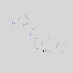 COc1ncc(NC(=O)c2cccc(N3CCOCC3)n2)cc1S(=O)(=O)Nc1c(C)cccc1C